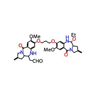 C=C1CC2C(CC=O)Nc3cc(OCCCOc4cc5c(cc4OC)C(=O)N4CC(=C)CC4C(OCC)N5)c(OC)cc3C(=O)N2C1